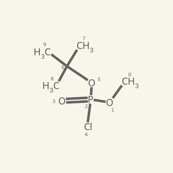 COP(=O)(Cl)OC(C)(C)C